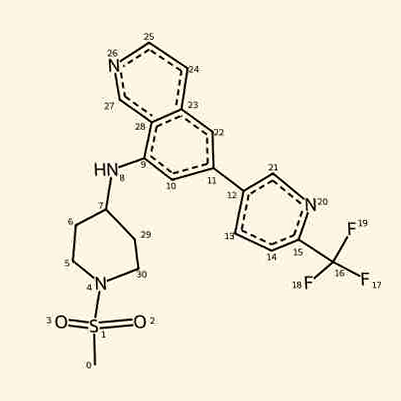 CS(=O)(=O)N1CCC(Nc2cc(-c3ccc(C(F)(F)F)nc3)cc3ccncc23)CC1